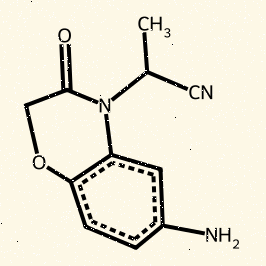 CC(C#N)N1C(=O)COc2ccc(N)cc21